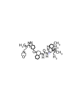 Cc1ccc(N/C(=C\C(=N)C(C)(C)C)NC(=O)N[C@H]2CC[C@@H](Oc3ccc4nnc(N(C)CCN5CCOCC5)n4c3)c3ccccc32)cc1